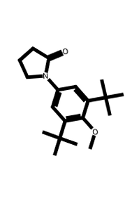 COc1c(C(C)(C)C)cc(N2CCCC2=O)cc1C(C)(C)C